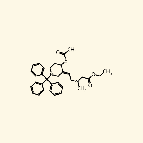 CCOC(=O)CN(C)C/C=C1\CN(C(c2ccccc2)(c2ccccc2)c2ccccc2)CCC1SC(C)=O